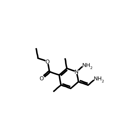 CCOC(=O)C1=C(C)N(N)/C(=C\N)C=C1C